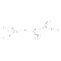 C=CC(=O)OCCC(=O)OC(COC(=O)C=C)COc1ccc(C(=O)Oc2ccc(CCOC(=O)c3ccc(OCC(COC(=O)C=C)OC(O)CCOC(=O)C=C)cc3)cc2/C=N/Nc2nc3ccccc3s2)cc1